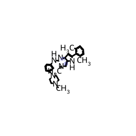 C=N/C=C1/NC(c2c(C)cccc2C)=C/C1=N/CNc1cccc(N2CCN(C)CC2)c1